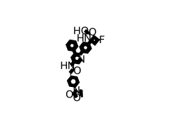 O=C(C[C@H]1CC[C@H](N2CCOC2=O)CC1)Nc1cnc(-c2ccc([C@]3(NC(=O)O)C[C@H](F)C3)cc2)c(-c2ccccc2)c1